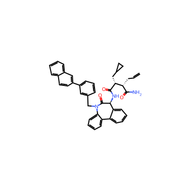 C=CC[C@H](C(N)=O)[C@@H](CC1CC1)C(=O)N[C@@H]1C(=O)N(Cc2cccc(-c3ccc4ccccc4c3)c2)c2ccccc2-c2ccccc21